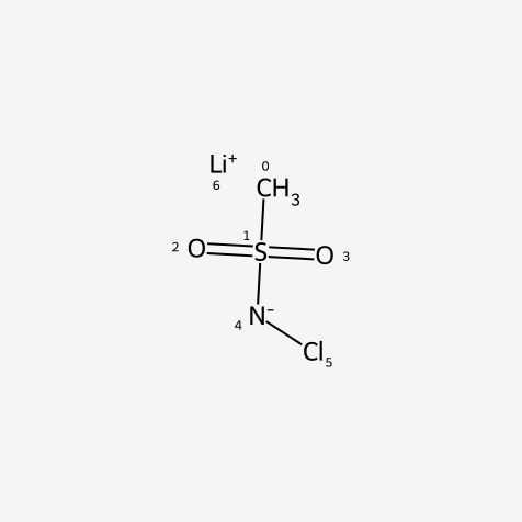 CS(=O)(=O)[N-]Cl.[Li+]